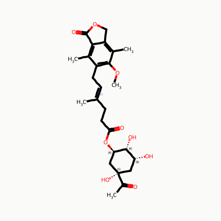 COc1c(C)c2c(c(C)c1C/C=C(\C)CCC(=O)O[C@@H]1C[C@](O)(C(C)=O)C[C@@H](O)[C@H]1O)C(=O)OC2